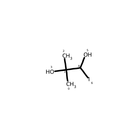 CC(C)(O)C(O)I